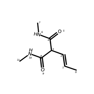 CC=CC(C(=O)NC)C(=O)NC